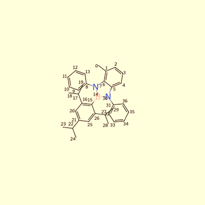 Cc1cccc2c1N(c1ccccc1)B(c1c(C(C)C)cc(C(C)C)cc1C(C)C)N2c1ccccc1